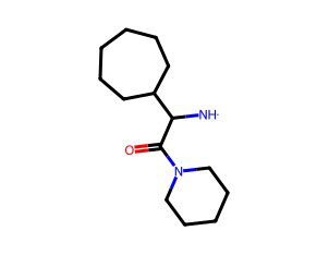 [NH]C(C(=O)N1CCCCC1)C1CCCCCC1